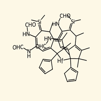 CC1=C2C(=CC(NC=O)=C(NC=O)C(=[Si](C)C)C2C)[C]([Hf][C]2(C3=CC=CC3)C3=CC(NC=O)=C(NC=O)C(=[Si](C)C)C(C)C3=C(C)C2(C)C)(C2=CC=CC2)C1(C)C